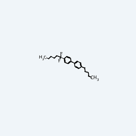 CCCCCc1ccc(-c2ccc(C(F)(F)CCCCC)cc2)cc1